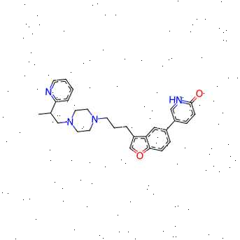 CC(CN1CCN(CCCc2coc3ccc(-c4ccc(=O)[nH]c4)cc23)CC1)c1ccccn1